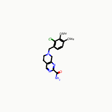 COc1ccc(CN2CCc3[c]nc(C(N)=O)nc3C2)c(Cl)c1OC